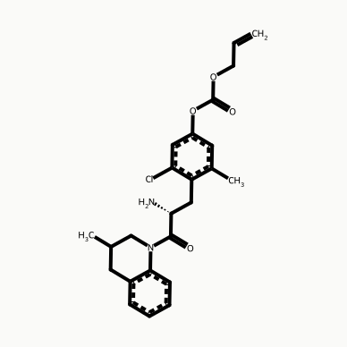 C=CCOC(=O)Oc1cc(C)c(C[C@@H](N)C(=O)N2CC(C)Cc3ccccc32)c(Cl)c1